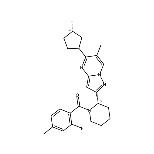 Cc1ccc(C(=O)N2CCCC[C@H]2c2cc3nc(C4CC[C@H](C)C4)c(C)cn3n2)c(F)c1